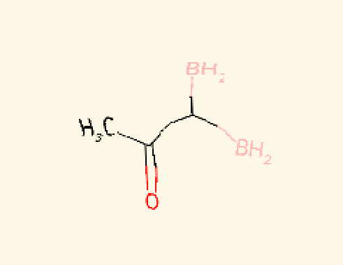 BC(B)C(C)=O